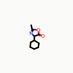 CC1=NC(C2CCCCC2)C(=O)O1